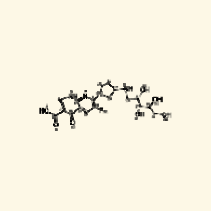 O=C(O)c1c[nH]c2nc(N3CCC(NC[C@H](O)[C@@H](O)[C@@H](O)CO)C3)c(F)cc2c1=O